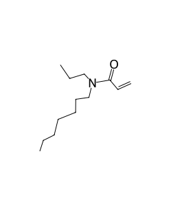 C=CC(=O)N(CCC)CCCCCCC